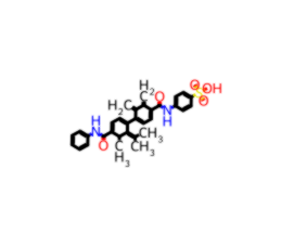 C=c1c(C(=O)Nc2ccc(S(=O)(=O)O)cc2)ccc(C2=CC=C(C(=O)Nc3ccccc3)C(C)C2=C(C)C)c1=C